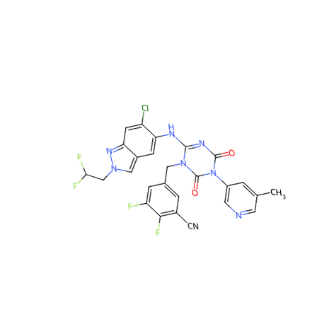 Cc1cncc(-n2c(=O)nc(Nc3cc4cn(CC(F)F)nc4cc3Cl)n(Cc3cc(F)c(F)c(C#N)c3)c2=O)c1